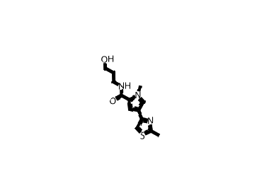 Cc1nc(-c2cc(C(=O)NCCCO)n(C)c2)cs1